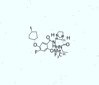 COc1cc(F)c(O[C@H]2CC[C@H](C)CC2)cc1C(=O)N[C@@H]1[C@H]2CC[C@H](C2)[C@@H]1C(=O)N[C@H](C)C(F)(F)F